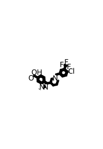 Cn1nc(C2CCCN(Cc3ccc(Cl)c(C(F)(F)F)c3)C2)c2ccc(C(=O)O)cc21